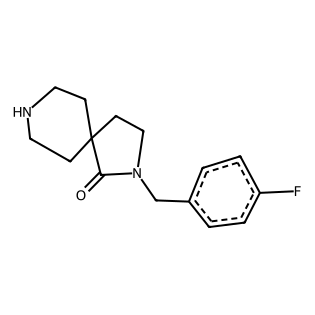 O=C1N(Cc2ccc(F)cc2)CCC12CCNCC2